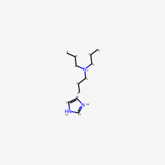 CCCN(CCC)CCC.c1c[nH]cn1